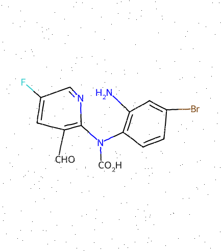 Nc1cc(Br)ccc1N(C(=O)O)c1ncc(F)cc1C=O